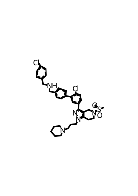 CS(=O)(=O)N1CCc2c(c(-c3ccc(Cl)c(-c4ccc(CNCc5ccc(Cl)cc5)cc4)c3)nn2CCCN2CCCCC2)C1